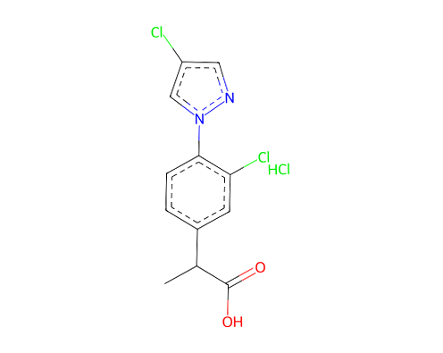 CC(C(=O)O)c1ccc(-n2cc(Cl)cn2)c(Cl)c1.Cl